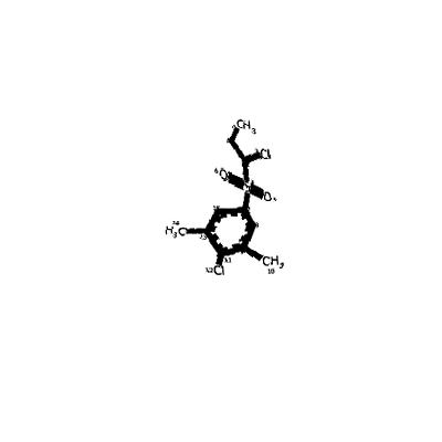 CCC(Cl)S(=O)(=O)c1cc(C)c(Cl)c(C)c1